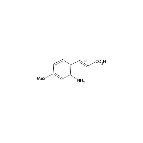 CSc1ccc(/C=C/C(=O)O)c(N)c1